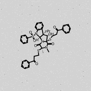 CCC[C@@]12c3ccccc3N(S(=O)(=O)c3ccccc3)[C@@H]1N1C(=O)[C@](C)(SCCC(=O)c3ccccc3)N(C)C(=O)[C@@]1(SCCC(=O)c1ccccc1)[C@H]2O